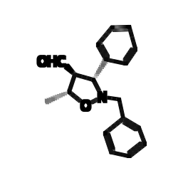 C[C@H]1ON(Cc2ccccc2)[C@@H](c2ccccc2)[C@@H]1C=O